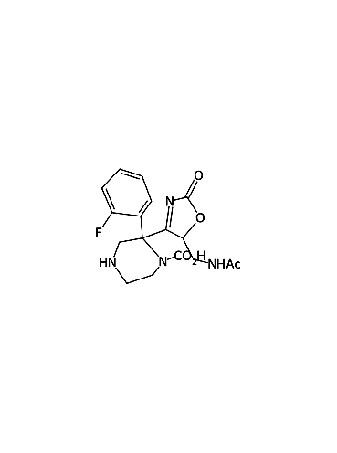 CC(=O)NCC1OC(=O)N=C1C1(c2ccccc2F)CNCCN1C(=O)O